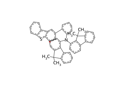 CC1(C)c2ccccc2-c2c(N(c3ccccc3-c3ccc4sc5ccccc5c4c3)c3cccc4c3C(C)(C)c3ccccc3-4)cccc21